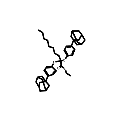 CCCCCCCCC(Oc1ccc(C23CC4CC(CC(C4)C2)C3)cc1)(Oc1ccc(C23CC4CC(CC(C4)C2)C3)cc1)C(=O)OCC